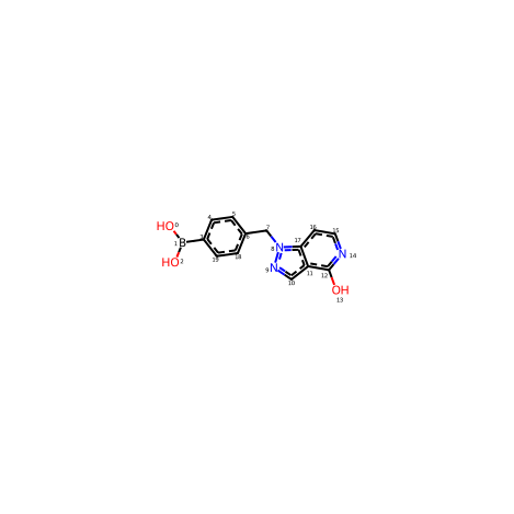 OB(O)c1ccc(Cn2ncc3c(O)nccc32)cc1